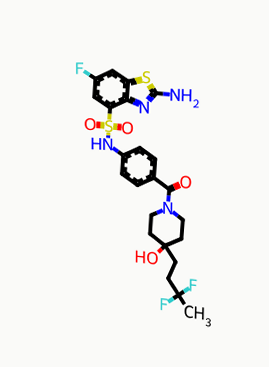 CC(F)(F)CCC1(O)CCN(C(=O)c2ccc(NS(=O)(=O)c3cc(F)cc4sc(N)nc34)cc2)CC1